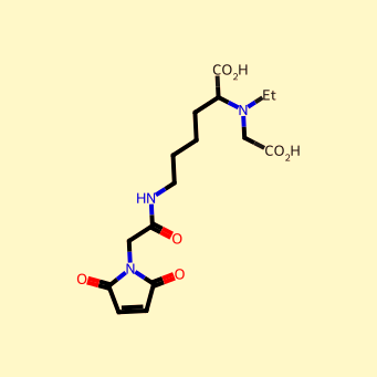 CCN(CC(=O)O)C(CCCCNC(=O)CN1C(=O)C=CC1=O)C(=O)O